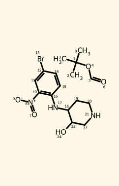 CC(C)(C)OC=O.O=[N+]([O-])c1cc(Br)ccc1NC1CCNCC1O